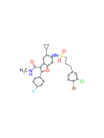 CNC(=O)c1c(-c2ccc(F)cc2)oc2cc(NS(=O)(=O)CCCc3ccc(Br)c(Cl)c3)c(C3CC3)cc12